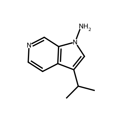 CC(C)c1cn(N)c2cnccc12